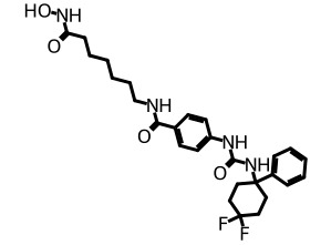 O=C(CCCCCCNC(=O)c1ccc(NC(=O)NC2(c3ccccc3)CCC(F)(F)CC2)cc1)NO